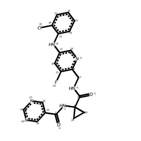 O=C(NC1(C(=O)NCc2ncc(Nc3ccccc3Cl)cc2F)CC1)c1cncnc1